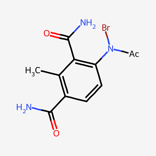 CC(=O)N(Br)c1ccc(C(N)=O)c(C)c1C(N)=O